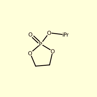 CC(C)OP1(=O)OCCO1